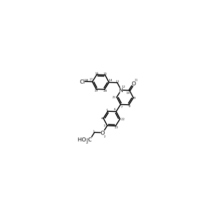 O=C(O)COc1ccc(-c2ccc(=O)n(Cc3ccc(Cl)cc3)c2)cc1